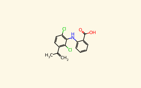 C=C(C)c1ccc(Cl)c(Nc2ccccc2C(=O)O)c1Cl